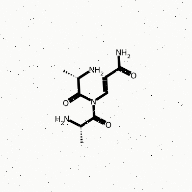 C[C@H](N)C(=O)N(C=CC(N)=O)C(=O)[C@H](C)N